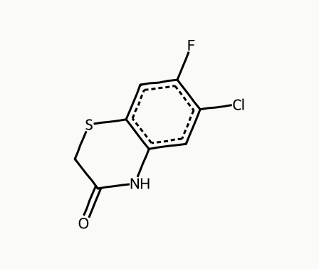 O=C1CSc2cc(F)c(Cl)cc2N1